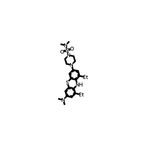 CCc1cc(N(C)C)cc2c1Nc1c(CC)cc(N3CCN(S(=O)(=O)N(C)C)CC3)cc1S2